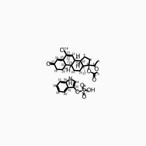 CC(=O)O[C@]1(C(C)=O)CC[C@H]2[C@@H]3C=C(Cl)C4=CC(=O)CC[C@]4(C)[C@H]3CC[C@@]21C.O=S(=O)(O)Oc1c[nH]c2ccccc12